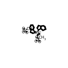 C1=C[CH]([Zr+2]2([CH]3C=Cc4ccccc43)[CH2][CH2]2)c2ccccc21.CS(=O)(=O)[O-].CS(=O)(=O)[O-]